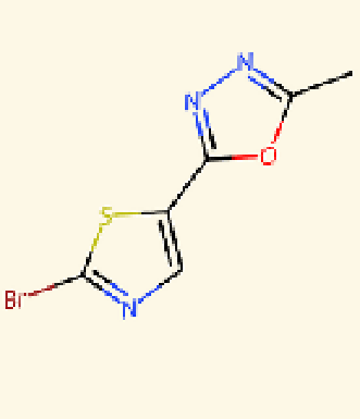 Cc1nnc(-c2cnc(Br)s2)o1